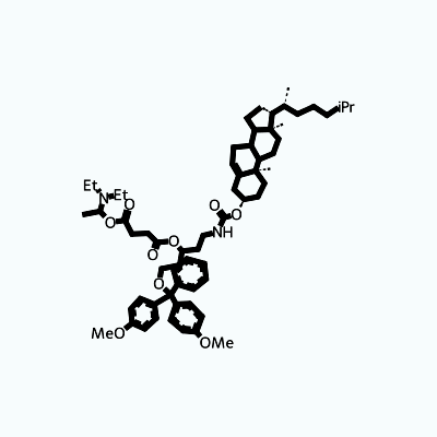 CCN(CC)C(C)OC(=O)CCC(=O)OC(CCNC(=O)O[C@H]1CC[C@@]2(C)C(=CCC3C2CC[C@@]2(C)C3CC[C@@H]2[C@H](C)CCCC(C)C)C1)CCOC(c1ccccc1)(c1ccc(OC)cc1)c1ccc(OC)cc1